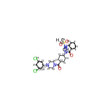 CN(c1ccccc1C(=O)NC1CCC(C(=O)N2CCN(c3cc(Cl)cc(Cl)c3)CC2)CC1)S(C)(=O)=O